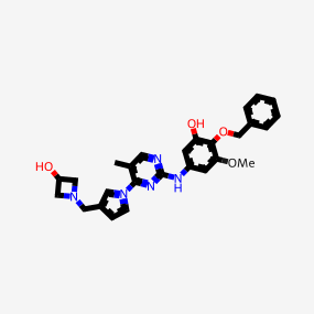 COc1cc(Nc2ncc(C)c(-n3ccc(CN4CC(O)C4)c3)n2)cc(O)c1OCc1ccccc1